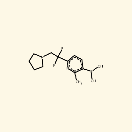 Cc1nc(C(F)(F)CN2CCCC2)ccc1B(O)O